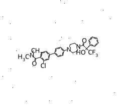 CN(C)C(=O)c1ccc(-c2ccc(N3CCN(C(=O)C(O)(c4ccccc4)C(F)(F)F)CC3)cc2)cc1Cl